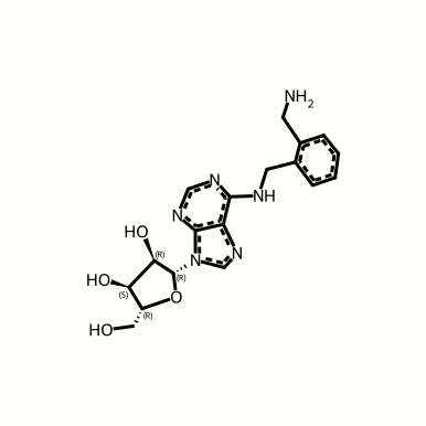 NCc1ccccc1CNc1ncnc2c1ncn2[C@@H]1O[C@H](CO)[C@@H](O)[C@H]1O